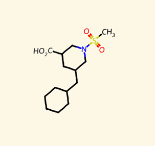 CS(=O)(=O)N1CC(CC2CCCCC2)CC(C(=O)O)C1